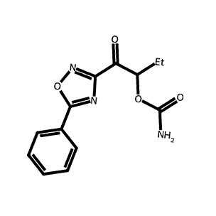 CCC(OC(N)=O)C(=O)c1noc(-c2ccccc2)n1